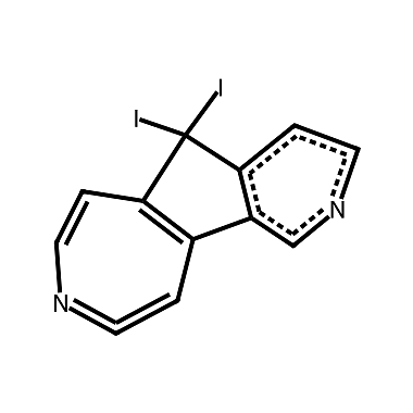 IC1(I)C2=C(C=C=NC=C2)c2cnccc21